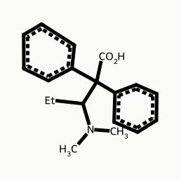 CCC(N(C)C)C(C(=O)O)(c1ccccc1)c1ccccc1